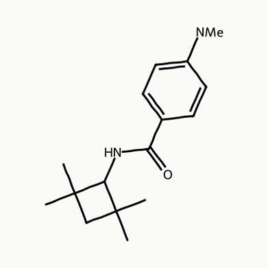 CNc1ccc(C(=O)NC2C(C)(C)CC2(C)C)cc1